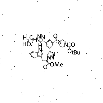 COC(=O)[C@H](Cc1c[nH]c2ccccc12)n1cc(-c2cc(C(=O)N3CCN(C(=O)OC(C)(C)C)CC3)cc(-c3cn([C@@H](C)CO)nn3)c2)nn1